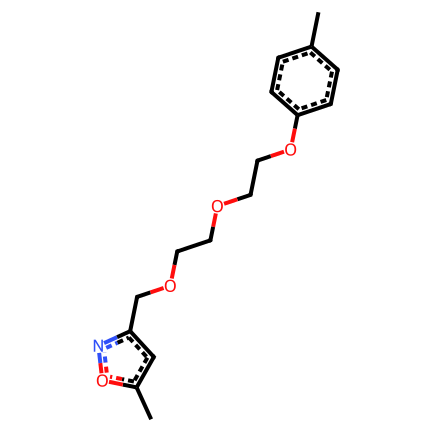 Cc1ccc(OCCOCCOCc2cc(C)on2)cc1